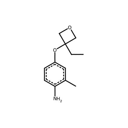 CCC1(Oc2ccc(N)c(C)c2)COC1